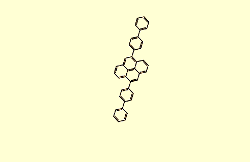 c1ccc(-c2ccc(-c3cc4cccc5c(-c6ccc(-c7ccccc7)cc6)cc6cccc3c6c45)cc2)cc1